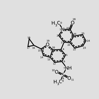 Cn1cc(-c2cc(NS(C)(=O)=O)cc3cc(C4CC4)oc23)c2ccccc2c1=O